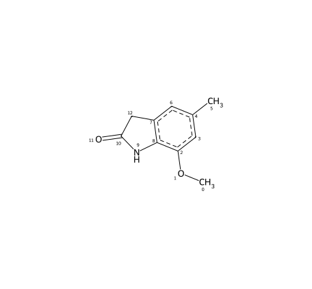 COc1cc(C)cc2c1NC(=O)C2